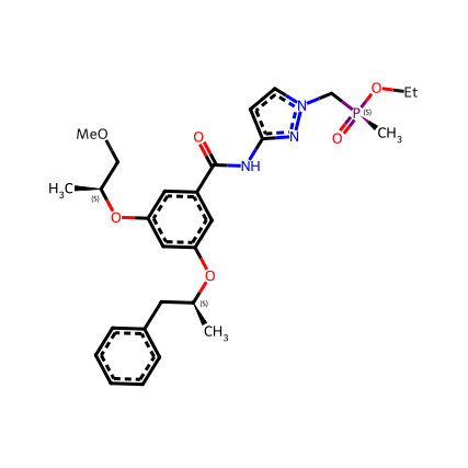 CCO[P@](C)(=O)Cn1ccc(NC(=O)c2cc(O[C@@H](C)COC)cc(O[C@@H](C)Cc3ccccc3)c2)n1